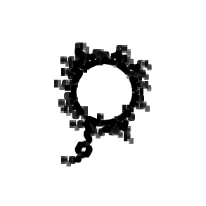 C/C=C/C[C@@H](C)[C@@H](O)[C@H]1C(=O)N[C@@H](CC)C(=O)N(C)[C@H](C)C(=O)N[C@@H]([C@H](C)CCCN2CCN(CC)CC2)C(=O)N[C@@H](C(C)C)C(=O)N(C)[C@@H](CC(C)C)C(=O)N[C@@H](C)C(=O)N[C@H](C)C(=O)N(C)[C@@H](CC(C)C)C(=O)N(C)[C@@H](CC(C)C)C(=O)N(C)[C@@H](C(C)C)C(=O)N1C